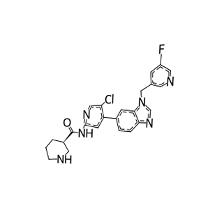 O=C(Nc1cc(-c2ccc3ncn(Cc4cncc(F)c4)c3c2)c(Cl)cn1)[C@@H]1CCCNC1